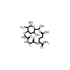 C[C@H](NC(=O)[C@@H](C)OC1CC(O)C(CO)O[C@@H](O)C1N)C(=O)NC(CCC(=O)O)C(N)=O